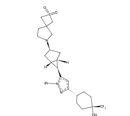 CC(C)n1nc([C@H]2CC[C@](O)(C(F)(F)F)CC2)cc1[C@H]1[C@@H]2C[C@@H](N3CCC4(C3)CS(=O)(=O)C4)C[C@@H]21